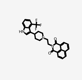 O=C1c2cccc3cccc(c23)C(=O)N1CCN1CCC(c2c[nH]c3cccc(C(F)(F)F)c23)CC1